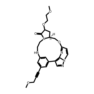 COCC#Cc1cc2cc(c1)-c1cnn3ccc(nc13)OC[C@@H]1CC(OCCOC)C(=O)N1CCN2